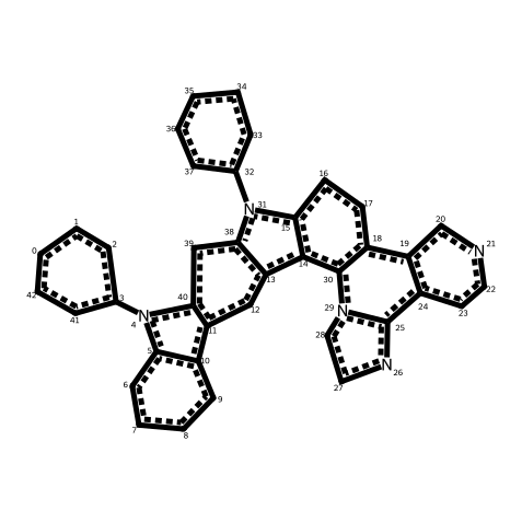 c1ccc(-n2c3ccccc3c3cc4c5c(ccc6c7cnccc7c7nccn7c65)n(-c5ccccc5)c4cc32)cc1